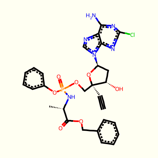 C#C[C@]1(COP(=O)(N[C@@H](C)C(=O)OCc2ccccc2)Oc2ccccc2)O[C@@H](n2cnc3c(N)nc(Cl)nc32)C[C@@H]1O